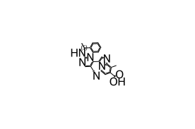 Cc1c(C(=O)O)ccn2c(-c3nc(N[C@@H](C)c4ccccc4)ncc3C#N)cnc12